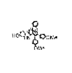 COc1ccc(-c2c(-c3ccc(OC)cc3)n(Cc3ccccc3)c3ncn([C@H]4CC[C@@H](O)CC4)c(=N)c23)cc1